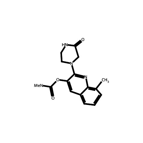 CNC(=O)Oc1cc2cccc(C)c2nc1N1CCNC(=O)C1